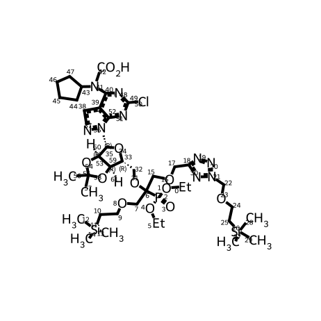 CCOP(=O)(OCC)C(COCC[Si](C)(C)C)(COCc1nnn(COCC[Si](C)(C)C)n1)OC[C@H]1O[C@@H](n2ncc3c(N(C(=O)O)C4CCCC4)nc(Cl)nc32)[C@@H]2OC(C)(C)O[C@@H]21